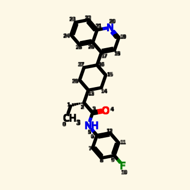 CC[C@@H](C(=O)Nc1ccc(F)cc1)C1CCC(c2ccnc3ccccc23)CC1